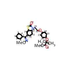 CO/N=C(\c1ccccc1)c1ccc2c(c1)sc(=O)n2CCOc1ccc(OC(C)(C)C(=O)OC)cc1